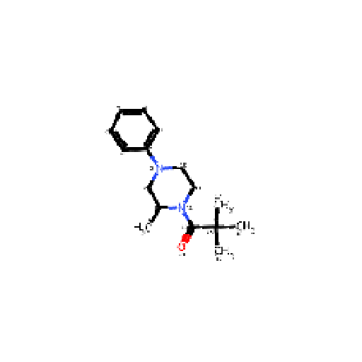 CC1CN(c2ccccc2)CCN1C(=O)C(C)(C)C